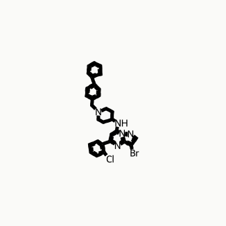 Clc1ccccc1-c1cc(NC2CCN(Cc3ccc(-c4ccccc4)cc3)CC2)n2ncc(Br)c2n1